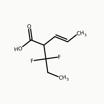 CC=CC(C(=O)O)C(F)(F)CC